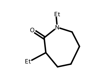 CCC1CCCCN(CC)C1=O